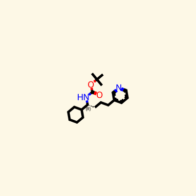 CC(C)(C)OC(=O)N[C@H](CCCc1cccnc1)C1CCCCC1